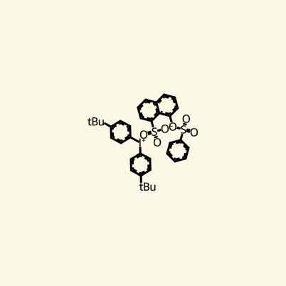 CC(C)(C)c1ccc([I+]c2ccc(C(C)(C)C)cc2)cc1.O=S(=O)([O-])c1cccc2cccc(OS(=O)(=O)c3ccccc3)c12